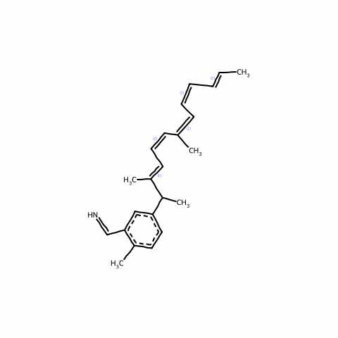 C/C=C/C=C\C=C(C)/C=C\C=C(/C)C(C)c1ccc(C)c(C=N)c1